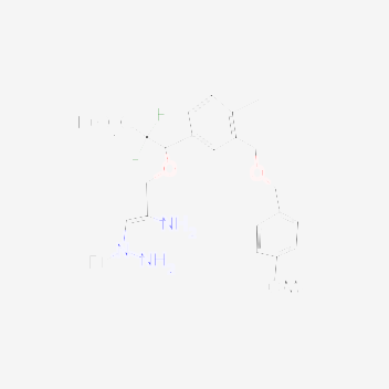 CCOC(=O)C(F)(F)C(OC/C(N)=C/N(N)CC)c1ccc(C)c(COCc2ccc(OC)cc2)c1